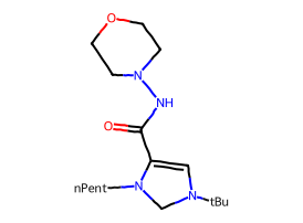 CCCCCN1CN(C(C)(C)C)C=C1C(=O)NN1CCOCC1